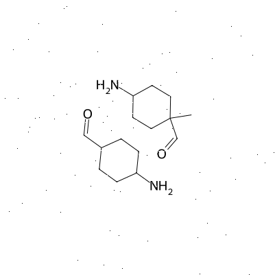 CC1(C=O)CCC(N)CC1.NC1CCC(C=O)CC1